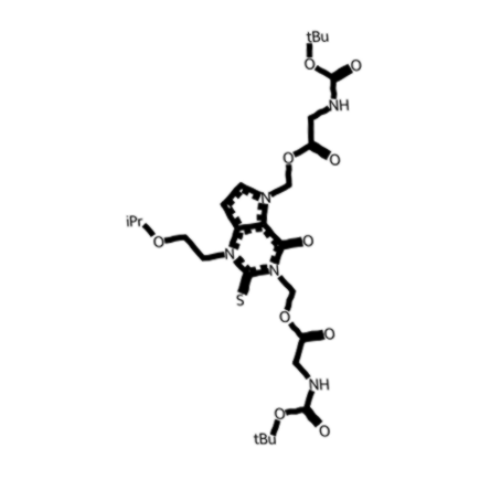 CC(C)OCCn1c(=S)n(COC(=O)CNC(=O)OC(C)(C)C)c(=O)c2c1ccn2COC(=O)CNC(=O)OC(C)(C)C